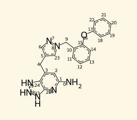 Nc1cc(Cc2cnn(Cc3ccccc3Oc3ccccc3)c2)c2c(n1)NNN2